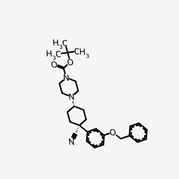 CC(C)(C)OC(=O)N1CCN([C@H]2CC[C@](C#N)(c3cccc(OCc4ccccc4)c3)CC2)CC1